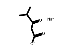 CC(C)C(=O)CC(=O)[O-].[Na+]